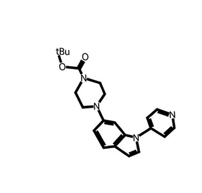 CC(C)(C)OC(=O)N1CCN(c2ccc3ccn(-c4ccncc4)c3c2)CC1